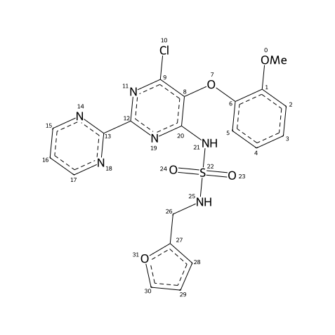 COc1ccccc1Oc1c(Cl)nc(-c2ncccn2)nc1NS(=O)(=O)NCc1ccco1